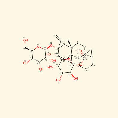 C=C1C[C@@]23CC[C@]45C[C@@]4(C(=O)O[C@@H]4OC(CO)[C@@H](O)C(O)[C@@H]4O)CCC[C@@]5(C)[C@@H]2CC[C@]1(O[C@@H]1O[C@H](CO)C(O)C(O)[C@H]1O)C3